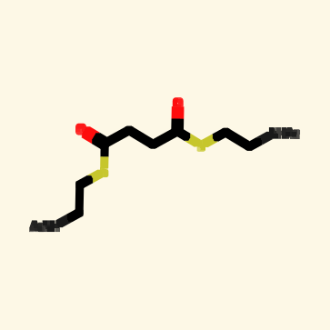 CC(=O)NCCSC(=O)CCC(=O)SCCNC(C)=O